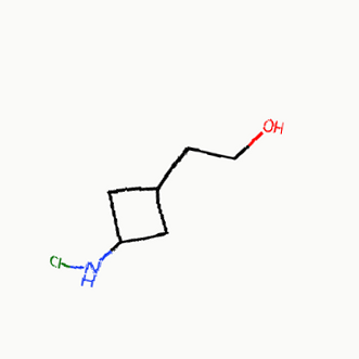 OCCC1CC(NCl)C1